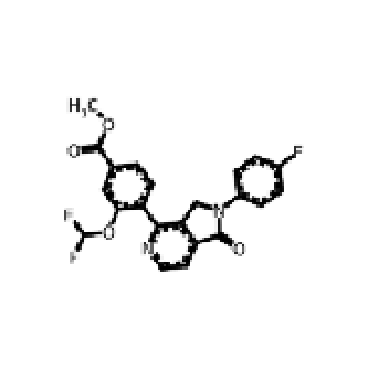 COC(=O)c1ccc(-c2nccc3c2CN(c2ccc(F)cc2)C3=O)c(OC(F)F)c1